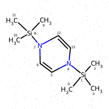 C[Si](C)(C)N1C=CN([Si](C)(C)C)C=C1